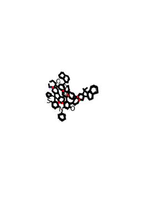 C=Cc1oc2c(-c3cccc4ccccc34)cc(N(c3ccc(-c4ccc5c(c4)C(C)(C)c4c-5ccc5ccccc45)cc3)c3cccc4c3-c3ccccc3C43c4ccccc4Sc4ccc(N(c5ccccc5)c5cc(-c6ccc7occc7c6)c6c(c5)oc5ccccc56)cc43)cc2c1/C=C\C